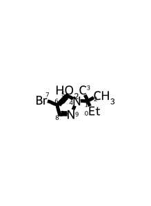 CCC(C)(C(=O)O)n1cc(Br)cn1